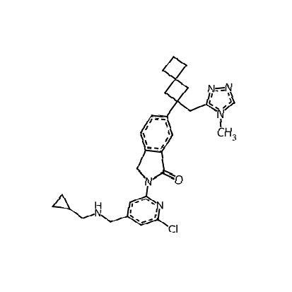 Cn1cnnc1CC1(c2ccc3c(c2)C(=O)N(c2cc(CNCC4CC4)cc(Cl)n2)C3)CC2(CCC2)C1